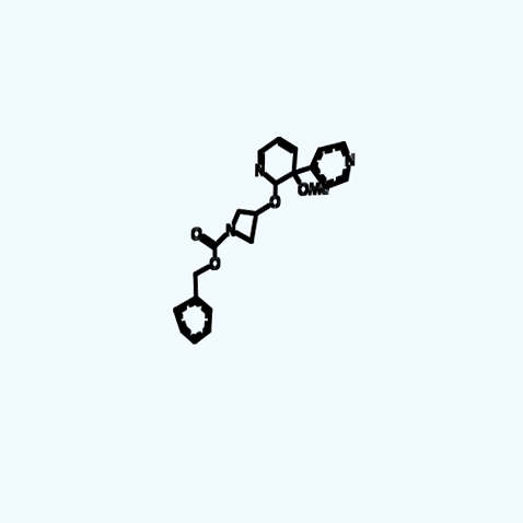 COC1(c2ccncc2)C=CC=NC1OC1CN(C(=O)OCc2ccccc2)C1